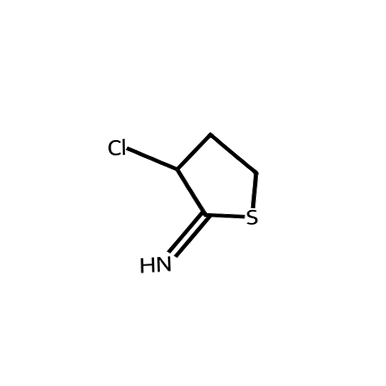 N=C1SCCC1Cl